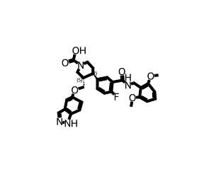 COc1cccc(OC)c1CNC(=O)c1cc([C@@H]2CCN(C(=O)O)C[C@H]2COc2ccc3[nH]ncc3c2)ccc1F